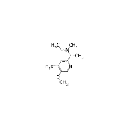 Bc1cc([C@@H](C)N(C)CC)ncc1OC